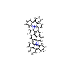 c1ccc(N(c2cccc3c2CCCC3)c2ccc3ccc4c(N(c5ccccc5)c5cccc6c5CCCC6)ccc5ccc2c3c54)cc1